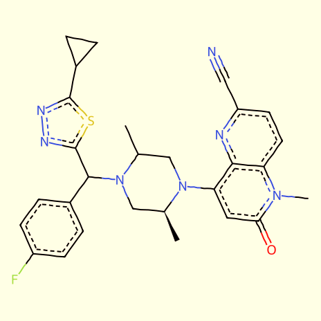 CC1CN(c2cc(=O)n(C)c3ccc(C#N)nc23)[C@@H](C)CN1C(c1ccc(F)cc1)c1nnc(C2CC2)s1